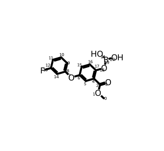 COC(=O)c1cc(Oc2cccc(F)c2)ccc1OB(O)O